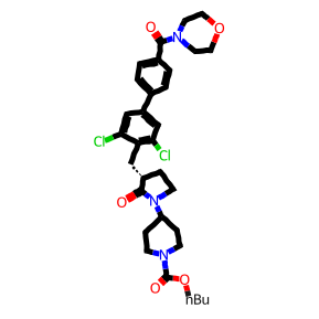 CCCCOC(=O)N1CCC(N2CC[C@@H](Cc3c(Cl)cc(-c4ccc(C(=O)N5CCOCC5)cc4)cc3Cl)C2=O)CC1